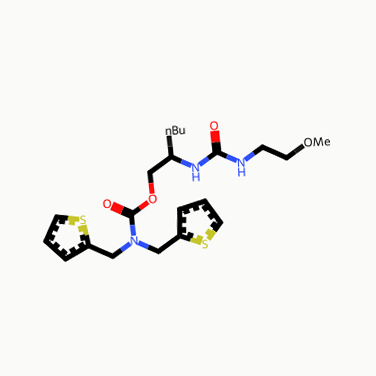 CCCCC(COC(=O)N(Cc1cccs1)Cc1cccs1)NC(=O)NCCOC